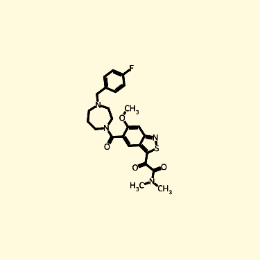 COc1cc2nsc(C(=O)C(=O)N(C)C)c2cc1C(=O)N1CCCN(Cc2ccc(F)cc2)CC1